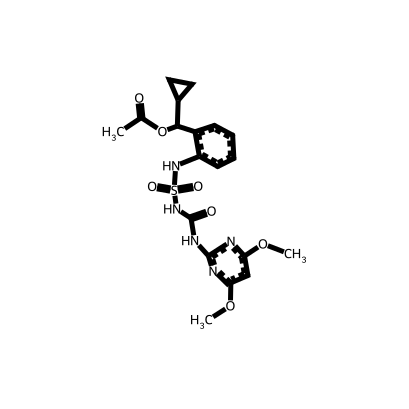 COc1cc(OC)nc(NC(=O)NS(=O)(=O)Nc2ccccc2C(OC(C)=O)C2CC2)n1